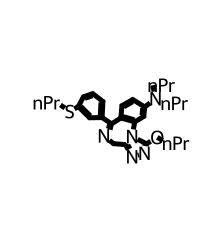 CCCOc1nnc2n1-c1cc(N(CCC)CCC)ccc1C(c1cccc(SCCC)c1)=NC2